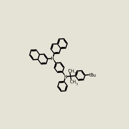 CC(C)(C)c1ccc(C(C)(C)N(c2ccccc2)c2ccc(N(C3=CC4C=CC=CC4C=C3)c3ccc4ccccc4c3)cc2)cc1